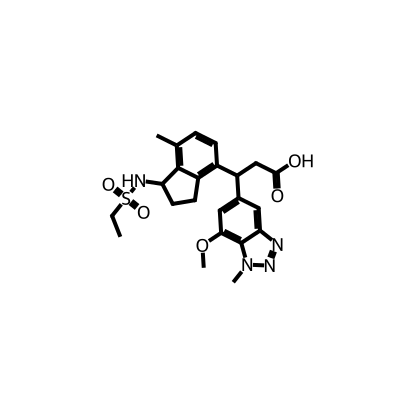 CCS(=O)(=O)NC1CCc2c(C(CC(=O)O)c3cc(OC)c4c(c3)nnn4C)ccc(C)c21